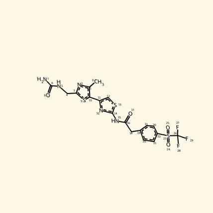 Cc1nc(CNC(N)=O)sc1-c1csc(NC(=O)Cc2ccc(S(=O)(=O)C(F)(F)F)cc2)n1